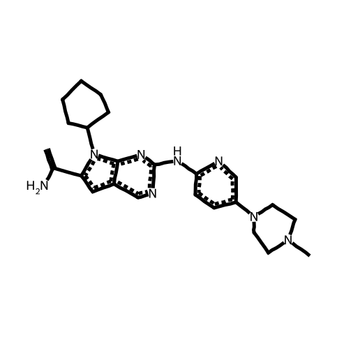 C=C(N)c1cc2cnc(Nc3ccc(N4CCN(C)CC4)cn3)nc2n1C1CCCCC1